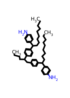 CCCCCCCCCC(c1ccc(N)cc1)c1ccc(CC(CCCC)c2ccc(C(CCCCCCCCC)c3ccc(N)cc3)cc2)cc1